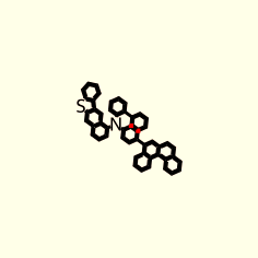 c1ccc(-c2ccccc2N(c2ccc(-c3cc4ccc5ccccc5c4c4ccccc34)cc2)c2cccc3cc4sc5ccccc5c4cc23)cc1